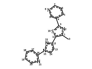 Cc1nc(-c2cccnc2)sc1-c1ccn(-c2ccccn2)n1